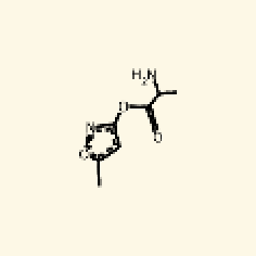 Cc1cc(OC(=O)C(C)N)no1